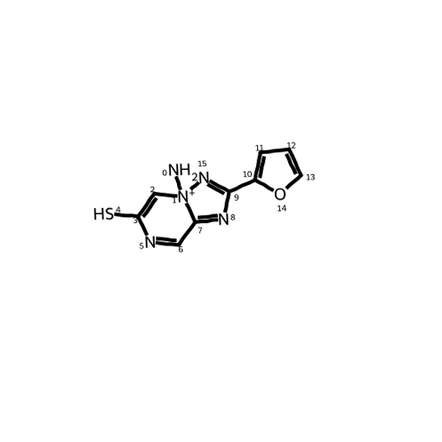 N[N+]12C=C(S)N=CC1=NC(c1ccco1)=N2